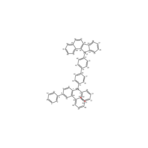 c1ccc(-c2ccc(N(c3ccccc3)c3ccc(-c4ccc(-n5c6ccccc6c6ccc7ccccc7c65)cc4)cc3)c(-c3ccccc3)c2)cc1